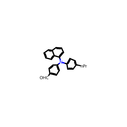 CCCc1ccc(N(c2ccc(C=O)cc2)c2cccc3ccccc23)cc1